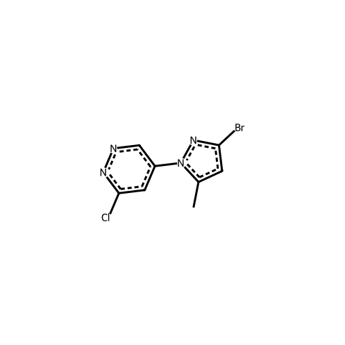 Cc1cc(Br)nn1-c1cnnc(Cl)c1